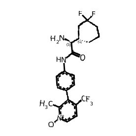 Cc1c(-c2ccc(NC(=O)[C@@H](N)[C@H]3CCCC(F)(F)C3)cc2)c(C(F)(F)F)cc[n+]1[O-]